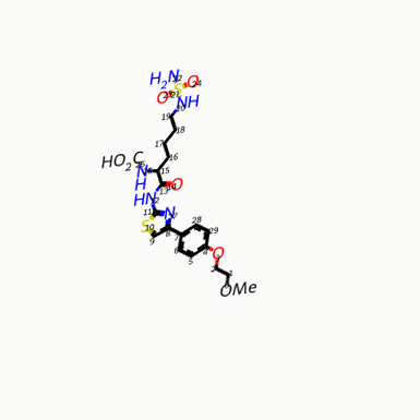 COCCOc1ccc(-c2csc(NC(=O)C(CCCCNS(N)(=O)=O)NC(=O)O)n2)cc1